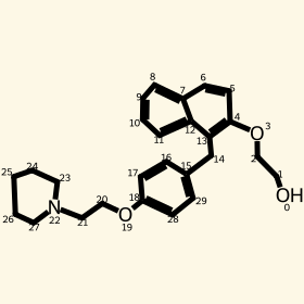 OCCOc1ccc2ccccc2c1Cc1ccc(OCCN2CCCCC2)cc1